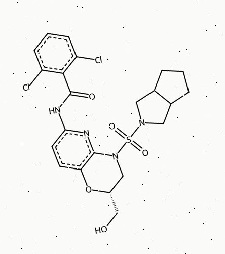 O=C(Nc1ccc2c(n1)N(S(=O)(=O)N1CC3CCCC3C1)C[C@H](CO)O2)c1c(Cl)cccc1Cl